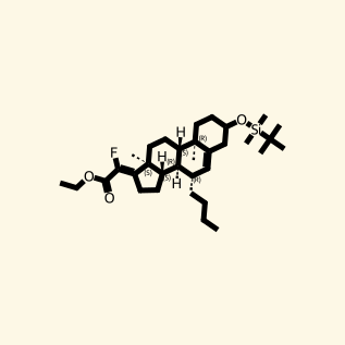 CCCC[C@H]1C=C2CC(O[Si](C)(C)C(C)(C)C)CC[C@]2(C)[C@H]2CC[C@]3(C)C(=C(F)C(=O)OCC)CC[C@H]3[C@H]12